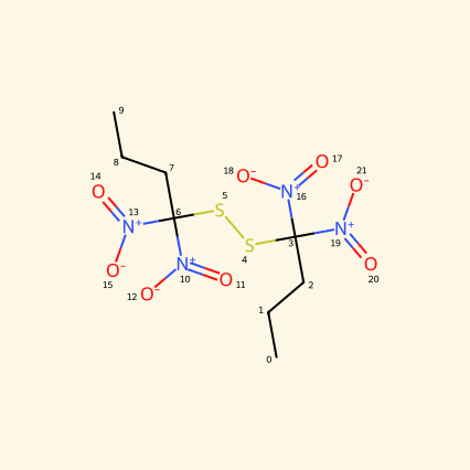 CCCC(SSC(CCC)([N+](=O)[O-])[N+](=O)[O-])([N+](=O)[O-])[N+](=O)[O-]